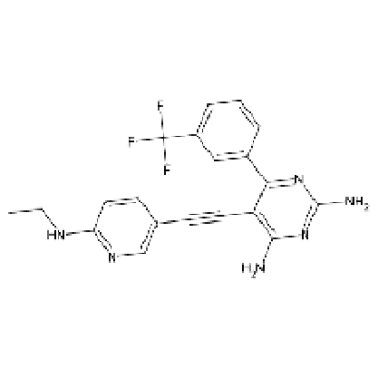 CCNc1ccc(C#Cc2c(N)nc(N)nc2-c2cccc(C(F)(F)F)c2)cn1